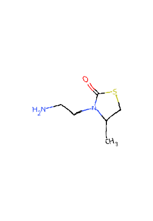 CC1CSC(=O)N1CCN